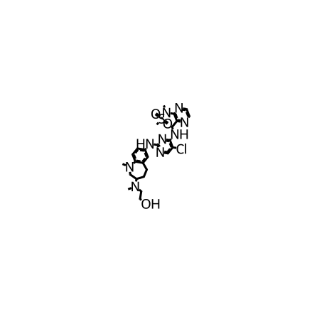 CN1CC(N(C)CCO)CCc2cc(Nc3ncc(Cl)c(NCc4nccnc4N(C)S(C)(=O)=O)n3)ccc21